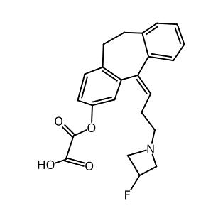 O=C(O)C(=O)Oc1ccc2c(c1)/C(=C\CCN1CC(F)C1)c1ccccc1CC2